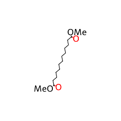 COC(=O)CCCCCCCCCCCC(=O)OC